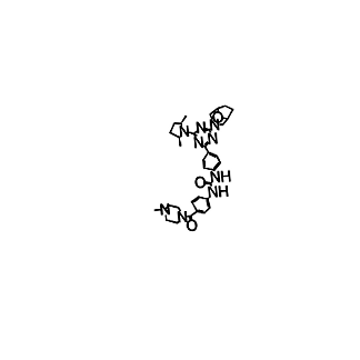 C[C@@H]1CC[C@H](C)N1c1nc(-c2ccc(NC(=O)Nc3ccc(C(=O)N4CCN(C)CC4)cc3)cc2)nc(N2CC3CCC(C2)O3)n1